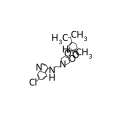 CC(C)C1=C[C@@H]2OC3(CCN(CCNc4ccnc5cc(Cl)ccc45)CC3)OO[C@]2(C)CC1